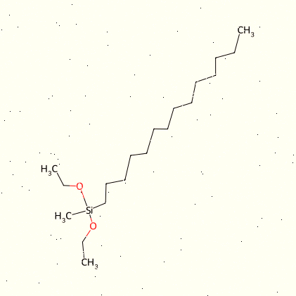 CCCCCCCCCCCCCC[Si](C)(OCC)OCC